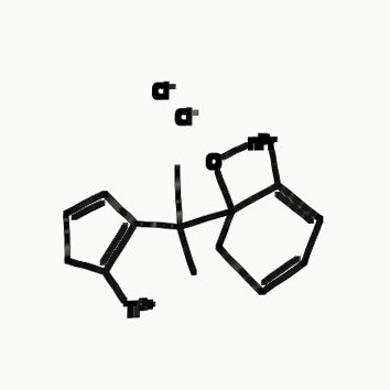 CCCOC1(C(C)(C)C2=[C]([Ti+2])CC=C2)CC=CC=C1C.[Cl-].[Cl-]